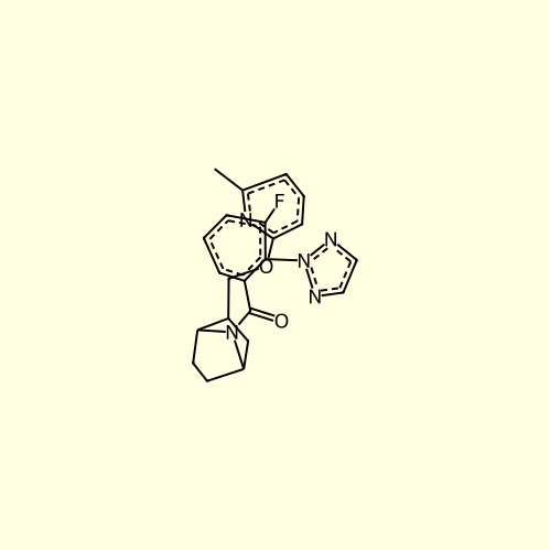 Cc1cccc(OCC2CC3CCC2N3C(=O)c2cccc(F)c2-n2nccn2)n1